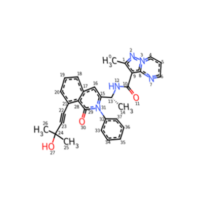 Cc1nn2cccnc2c1C(=O)N[C@H](C)c1cc2cccc(C#CC(C)(C)O)c2c(=O)n1-c1ccccc1